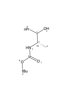 CCCC(O)[C@H](C)NC(=O)OC(C)(C)C